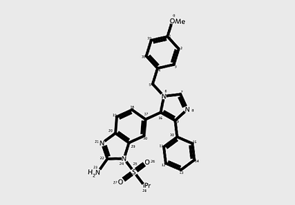 COc1ccc(Cn2cnc(-c3ccccc3)c2-c2ccc3nc(N)n(S(=O)(=O)C(C)C)c3c2)cc1